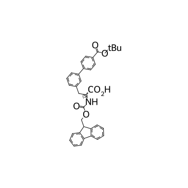 CC(C)(C)OC(=O)c1ccc(-c2cccc(C[C@H](NC(=O)OCC3c4ccccc4-c4ccccc43)C(=O)O)c2)cc1